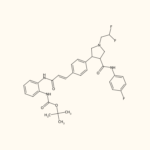 CC(C)(C)OC(=O)Nc1ccccc1NC(=O)C=Cc1ccc(C2CN(CC(F)F)CC2C(=O)Nc2ccc(F)cc2)cc1